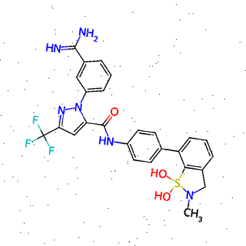 CN1Cc2cccc(-c3ccc(NC(=O)c4cc(C(F)(F)F)nn4-c4cccc(C(=N)N)c4)cc3)c2S1(O)O